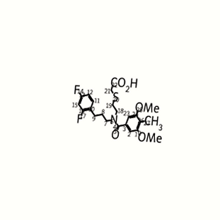 COc1cc(C(=O)N(CCCc2ccc(F)cc2F)CCSCC(=O)O)cc(OC)c1C